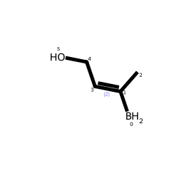 B/C(C)=C/CO